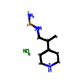 CC(CNSN)C1CCNCC1.Cl